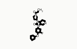 C=CC(=O)N1CCC(n2c(=O)n(-c3ccc(Oc4ccccc4)c(F)c3)c3cnccc32)C1